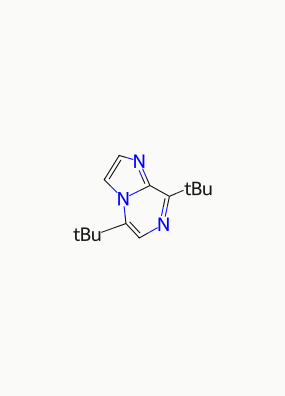 CC(C)(C)c1ncc(C(C)(C)C)n2ccnc12